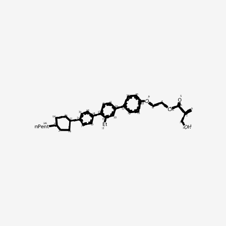 C=C(CO)C(=O)OCCOc1ccc(-c2ccc(-c3ccc(C4CCC(CCCCC)CC4)cc3)c(CC)c2)cc1